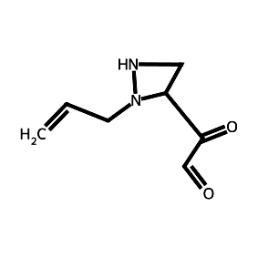 C=CCN1NCC1C(=O)C=O